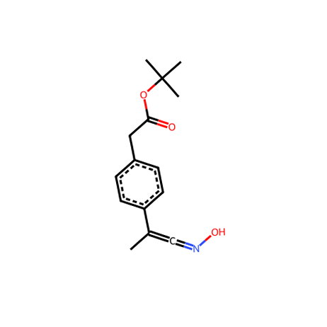 CC(=C=NO)c1ccc(CC(=O)OC(C)(C)C)cc1